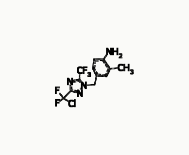 Cc1cc(Cn2nc(C(F)(F)Cl)nc2C(F)(F)F)ccc1N